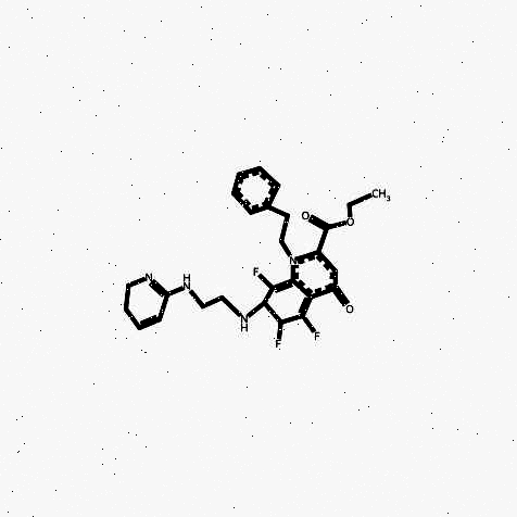 CCOC(=O)c1cc(=O)c2c(n1CCc1ccccc1)=C(F)C(NCCNC1=NCCC=C1)C(F)C=2F